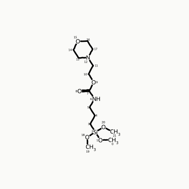 CO[Si](CCCNC(=O)OCCN1CCOCC1)(OC)OC